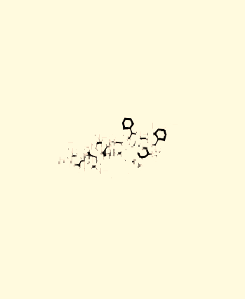 N=C(N)NC(NC(=O)C(NC(=N)N)NC(=O)C(NC(=N)N)NC(=O)C(NC(=N)N)NC(=O)C(NC(=O)C(O)N(Cc1ccc(O)cc1)c1ncc([N+](=O)[O-])cc1[N+](=O)[O-])c1ccccc1)C(N)=O